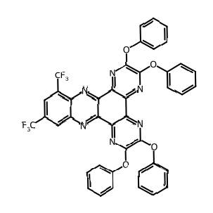 FC(F)(F)c1cc(C(F)(F)F)c2nc3c4nc(Oc5ccccc5)c(Oc5ccccc5)nc4c4nc(Oc5ccccc5)c(Oc5ccccc5)nc4c3nc2c1